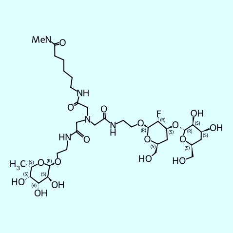 CNC(=O)CCCCCNC(=O)CN(CC(=O)NCCO[C@@H]1O[C@@H](C)[C@@H](O)[C@@H](O)[C@@H]1O)CC(=O)NCCO[C@@H]1O[C@H](CO)C[C@H](O[C@H]2O[C@H](CO)C[C@H](O)[C@@H]2O)[C@H]1F